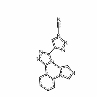 N#Cn1cc(-c2nnc3c4ccccc4n4cncc4n23)nn1